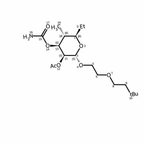 CC[C@H]1O[C@H](OCCOCCC(C)(C)C)[C@@H](OC(C)=O)[C@@H](OC(N)=O)[C@@H]1C